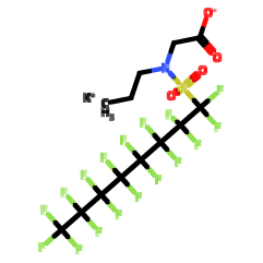 CCCN(CC(=O)[O-])S(=O)(=O)C(F)(F)C(F)(F)C(F)(F)C(F)(F)C(F)(F)C(F)(F)C(F)(F)C(F)(F)F.[K+]